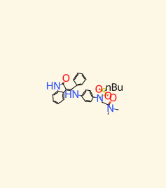 CCCCS(=O)(=O)N(CC(=O)N(C)C)c1ccc(NC(=C2C(=O)Nc3ccccc32)c2ccccc2)cc1